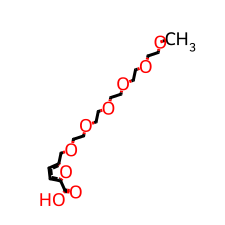 COCCOCCOCCOCCOCCOCc1ccc(C(=O)O)o1